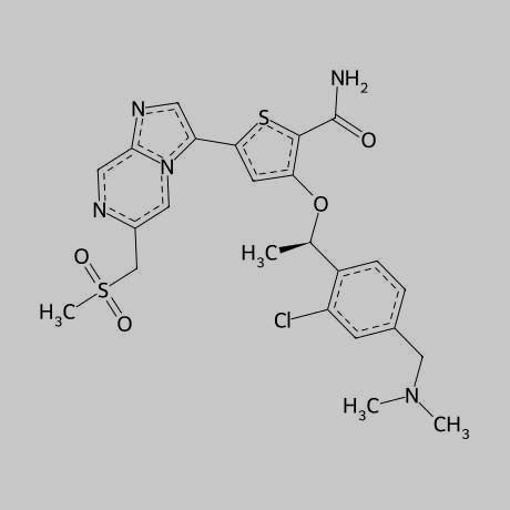 C[C@@H](Oc1cc(-c2cnc3cnc(CS(C)(=O)=O)cn23)sc1C(N)=O)c1ccc(CN(C)C)cc1Cl